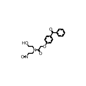 O=NCCN(CCO)C(=O)COc1ccc(C(=O)c2ccccc2)cc1